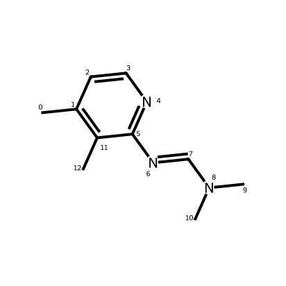 Cc1ccnc(N=CN(C)C)c1C